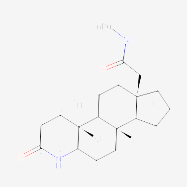 CCCCNC(=O)C[C@@]12CCC[C@H]1[C@@H]1CCC3NC(=O)CC[C@]3(C)[C@H]1CC2